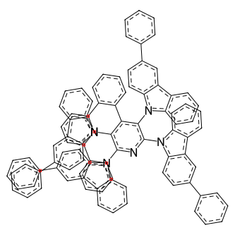 c1ccc(-c2ccc3c(c2)c2ccccc2n3-c2nc(-n3c4ccccc4c4cc(-c5ccccc5)ccc43)c(-n3c4ccccc4c4cc(-c5ccccc5)ccc43)c(-c3ccccc3-c3cccc(-c4ccccc4)n3)c2-n2c3ccccc3c3cc(-c4ccccc4)ccc32)cc1